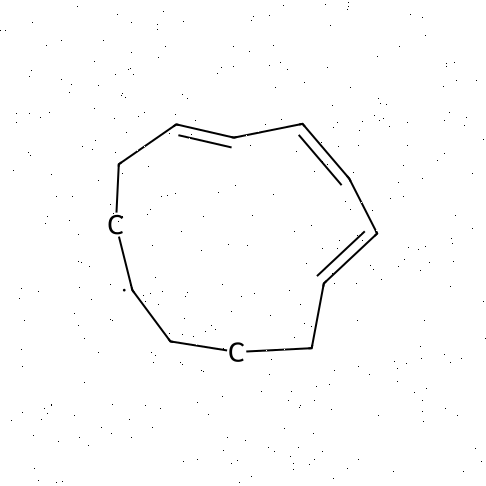 [CH]1CC/C=C/C=C\C=C\CCC1